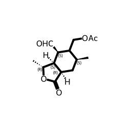 CC(=O)OCC1[C@@H](C)C[C@H]2C(=O)O[C@H](C)[C@H]2[C@H]1C=O